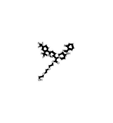 O=C(OCCOCCOCCO)C(c1ccc(-c2ccc(C(F)(F)F)cc2C(F)(F)F)nn1)N1C=Cc2[nH]c(-c3ccccc3F)nc2C1